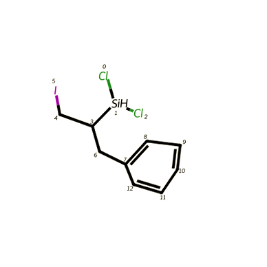 Cl[SiH](Cl)C(CI)Cc1ccccc1